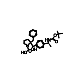 C[C@H](NC(=O)OC(C)(C)C)c1ccc(C(O)[C@@]2(Cc3ccccc3)CCCN2C(=O)O)cc1